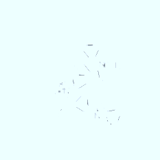 CNC(=O)c1c(-c2ccc(F)cc2)oc2cc(N(CCC=O)S(C)(=O)=O)c(-c3cccc(-c4nc5ncccc5o4)c3)cc12